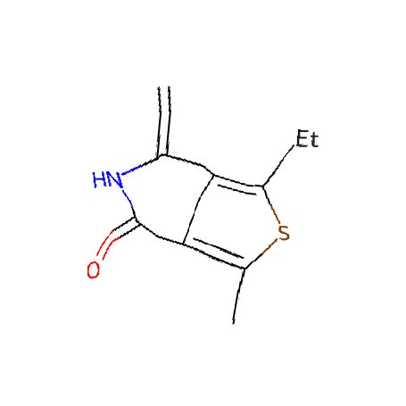 C=C1NC(=O)c2c(C)sc(CC)c21